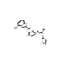 CCc1cccc2sc(C(=O)Nc3c(F)ccc(C(=N)/C=C(/Nc4cc(C)n(C)n4)C(N)=O)c3C)cc12